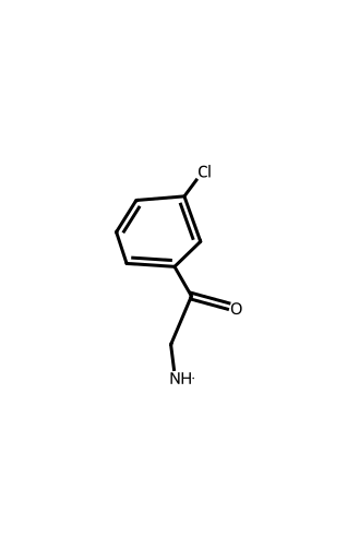 [NH]CC(=O)c1cccc(Cl)c1